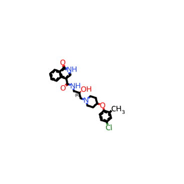 Cc1cc(Cl)ccc1OC1CCN(C[C@H](O)CNC(=O)c2c[nH]c(=O)c3ccccc23)CC1